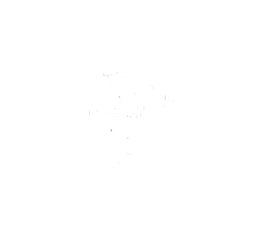 [CH2]CC(C)(CC(C)(C)CCO)OC